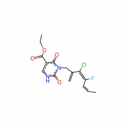 C=C(Cn1c(=O)[nH]cc(C(=O)OCC)c1=O)/C(Cl)=C(F)\C=C/C